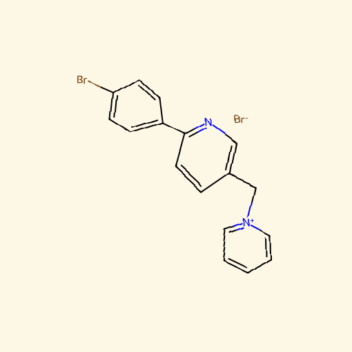 Brc1ccc(-c2ccc(C[n+]3ccccc3)cn2)cc1.[Br-]